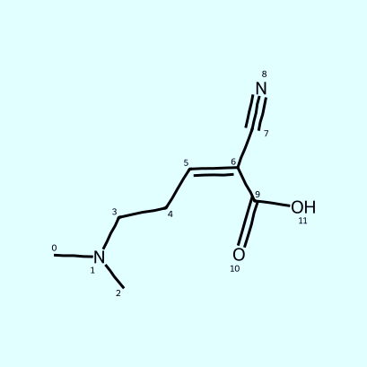 CN(C)CCC=C(C#N)C(=O)O